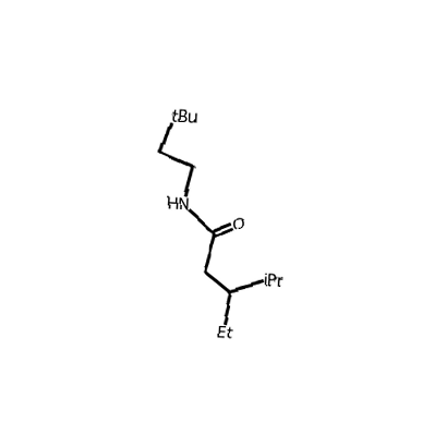 CCC(CC(=O)NCCC(C)(C)C)C(C)C